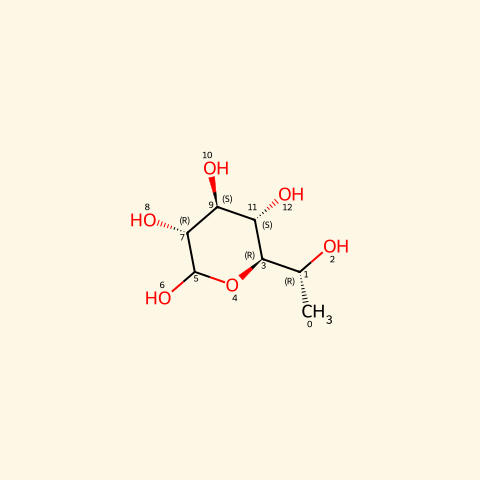 C[C@@H](O)[C@H]1OC(O)[C@H](O)[C@@H](O)[C@@H]1O